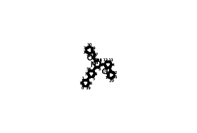 c1ccc(-c2ccc(-c3cc(-c4cccc5c4oc4ccccc45)nc(-c4cc5ccccc5o4)n3)cc2)cc1